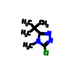 Cn1c(Cl)nnc1C(C)(C)C